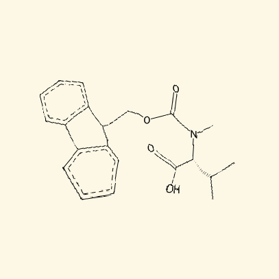 CC(C)[C@H](C(=O)O)N(C)C(=O)OCC1c2ccccc2-c2ccccc21